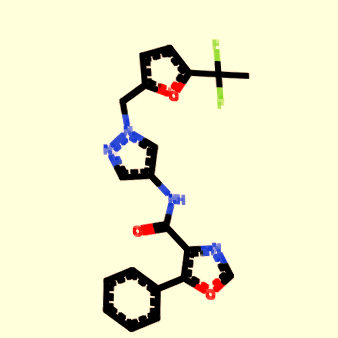 CC(F)(F)c1ccc(Cn2cc(NC(=O)c3ncoc3-c3ccccc3)cn2)o1